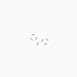 C=C(c1cc(Br)cc(COCC)c1)c1ccc(OC(F)F)c(C)c1